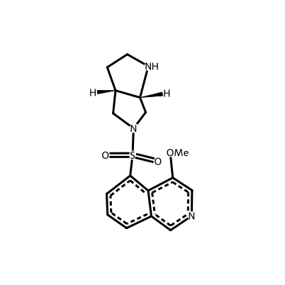 COc1cncc2cccc(S(=O)(=O)N3C[C@@H]4CCN[C@@H]4C3)c12